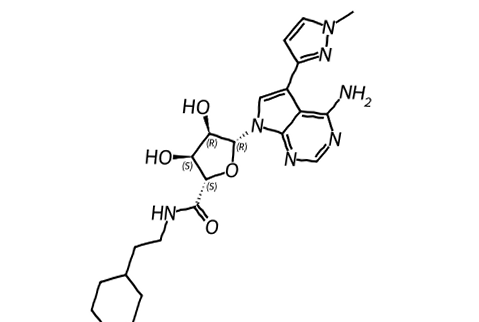 Cn1ccc(-c2cn([C@@H]3O[C@H](C(=O)NCCC4CCCCC4)[C@@H](O)[C@H]3O)c3ncnc(N)c23)n1